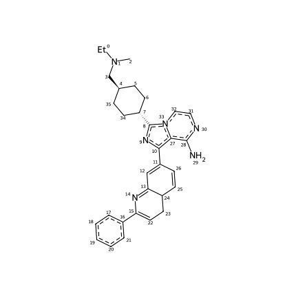 CCN(C)C[C@H]1CC[C@H](c2nc(C3=CC4=NC(c5ccccc5)=CCC4C=C3)c3c(N)nccn32)CC1